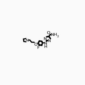 NC(=O)c1cnc(Nc2ccc(OCCCN3CCCC3)c(F)c2)nc1